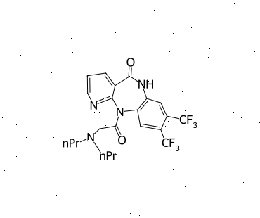 CCCN(CCC)CC(=O)N1c2cc(C(F)(F)F)c(C(F)(F)F)cc2NC(=O)c2cccnc21